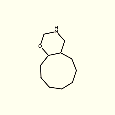 C1CCCC2CNCOC2CCC1